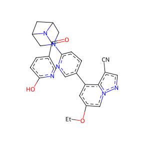 CCOc1cc(-c2ccc(N3CC4CC(C3)N4C(=O)c3ccc(O)nc3)nc2)c2c(C#N)cnn2c1